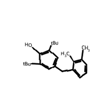 Cc1cccc(Cc2cc(C(C)(C)C)c(O)c(C(C)(C)C)c2)c1C